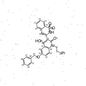 CC(C)CCn1c(=O)c(C2=Nc3ccccc3S(=O)(=O)N2)c(O)c2cc(OCc3ccccc3)ccc21